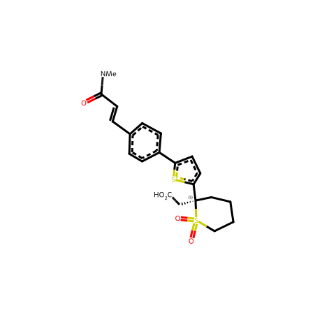 CNC(=O)C=Cc1ccc(-c2ccc([C@@]3(CC(=O)O)CCCCS3(=O)=O)s2)cc1